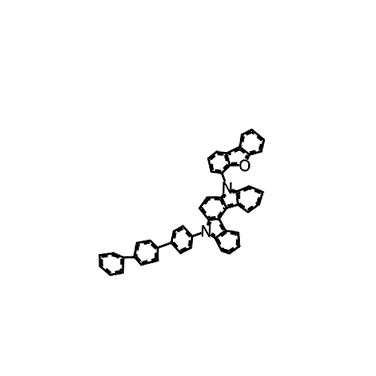 c1ccc(-c2ccc(-c3ccc(-n4c5ccccc5c5c6c7ccccc7n(-c7cccc8c7oc7ccccc78)c6ccc54)cc3)cc2)cc1